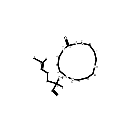 C=CC(C)(O)CCC=C(C)C.O=C1CCCCCCCCCCCCCCO1